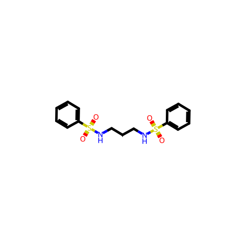 O=S(=O)(NC[CH]CNS(=O)(=O)c1ccccc1)c1ccccc1